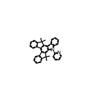 CC1(C)c2ccccc2-c2c3c(c4c(c21)c1ccccc1n4-c1ccccn1)C(C)(C)c1ccccc1-3